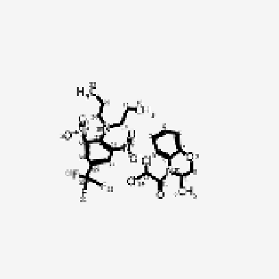 CC1COc2ccccc2N1C(=O)C(Cl)Cl.CCCN(CCC)c1c([N+](=O)[O-])cc(C(F)(F)F)cc1[N+](=O)[O-]